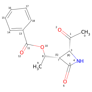 CC(=O)[C@@H]1NC(=O)[C@@H]1C(C)OC(=O)c1ccccc1